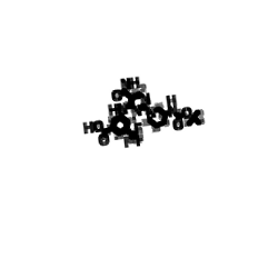 CC(C)(C)OC(=O)NC1CCCN(c2ncc(C(N)=O)c(Nc3cc(C(=O)O)cc(C(F)(F)F)c3)n2)C1